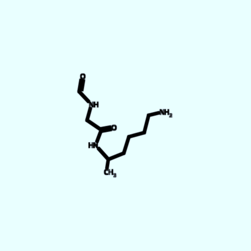 CC(CCCCN)NC(=O)CNC=O